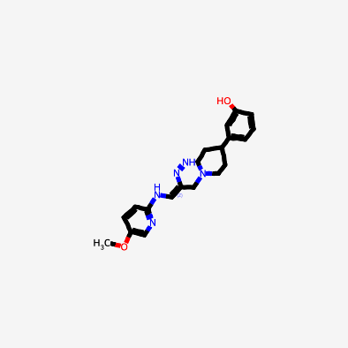 COc1ccc(N/C=C(/CN2CCC(c3cccc(O)c3)CC2)N=N)nc1